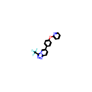 FC(F)(F)c1nnc2ccc(-c3ccc(Oc4ccccn4)cc3)cn12